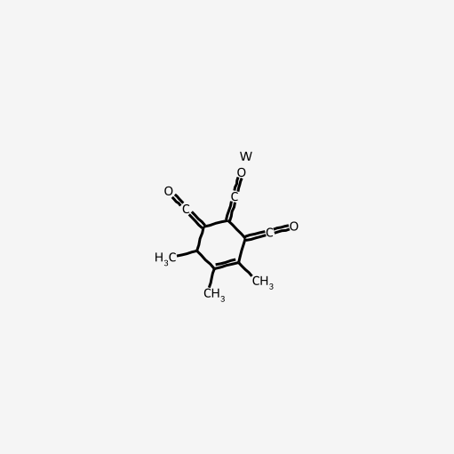 CC1=C(C)C(C)C(=C=O)C(=C=O)C1=C=O.[W]